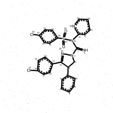 N=C(N1CC(c2ccccc2)C(c2ccc(Cl)cc2)=N1)N(c1ccccn1)S(=O)(=O)c1ccc(Cl)cc1